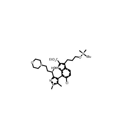 CCOC(=O)c1[nH]c2c(-c3c([C@H](O)CCN4CCOCC4)nn(C)c3C)c(Cl)ccc2c1CCCO[Si](C)(C)C(C)(C)C